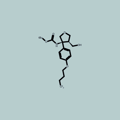 CC(C)(C)OC(=O)N[C@@]1(c2ccc(OCCCC(F)(F)F)cc2)COC[C@H]1CO